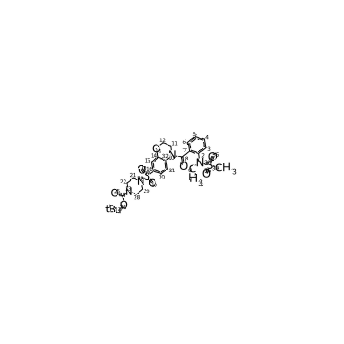 CN(c1ccccc1C(=O)N1CCOc2cc(S(=O)(=O)N3CCN(C(=O)OC(C)(C)C)CC3)ccc21)S(C)(=O)=O